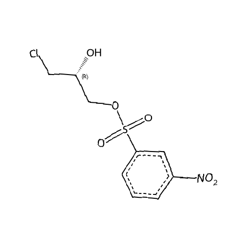 O=[N+]([O-])c1cccc(S(=O)(=O)OC[C@@H](O)CCl)c1